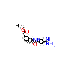 CCOC(=O)CC1=Cc2cc(NC(=O)c3ccc(C(=N)N)cc3)ccc2CC1